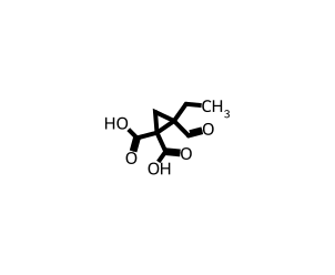 CCC1(C=O)CC1(C(=O)O)C(=O)O